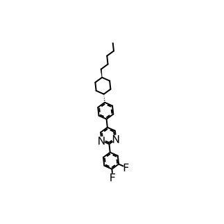 CCCCC[C@H]1CC[C@H](c2ccc(-c3cnc(-c4ccc(F)c(F)c4)nc3)cc2)CC1